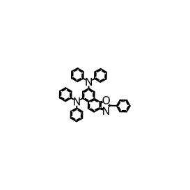 c1ccc(-c2nc3ccc4c(N(c5ccccc5)c5ccccc5)cc(N(c5ccccc5)c5ccccc5)cc4c3o2)cc1